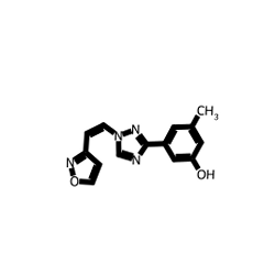 Cc1cc(O)cc(-c2ncn(/C=C\c3ccon3)n2)c1